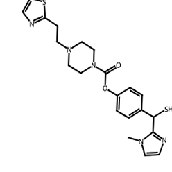 Cn1ccnc1C(S)c1ccc(OC(=O)N2CCN(CCc3nccs3)CC2)cc1